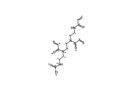 C=CC(=O)NCCN(CCN(CCNC(=O)CC)C(=O)C=C)C(=O)C=C